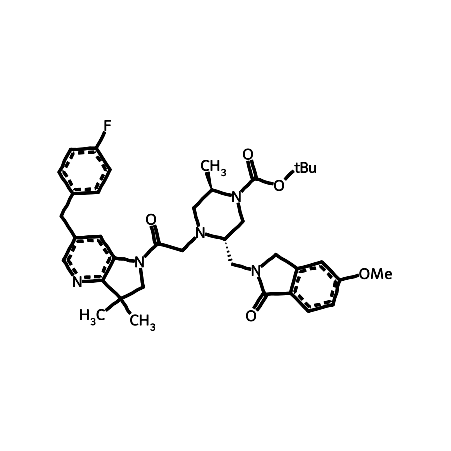 COc1ccc2c(c1)CN(C[C@H]1CN(C(=O)OC(C)(C)C)[C@H](C)CN1CC(=O)N1CC(C)(C)c3ncc(Cc4ccc(F)cc4)cc31)C2=O